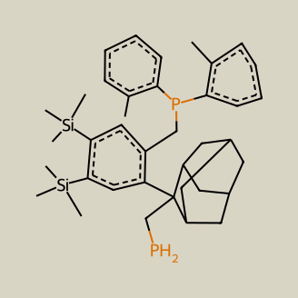 Cc1ccccc1P(Cc1cc([Si](C)(C)C)c([Si](C)(C)C)cc1C1(CP)C2CC3CC(C2)CC1C3)c1ccccc1C